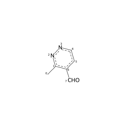 Cc1nnccc1C=O